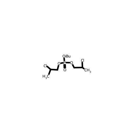 CC(C)COP(=O)(OCC(C)Cl)OCC(C)Cl